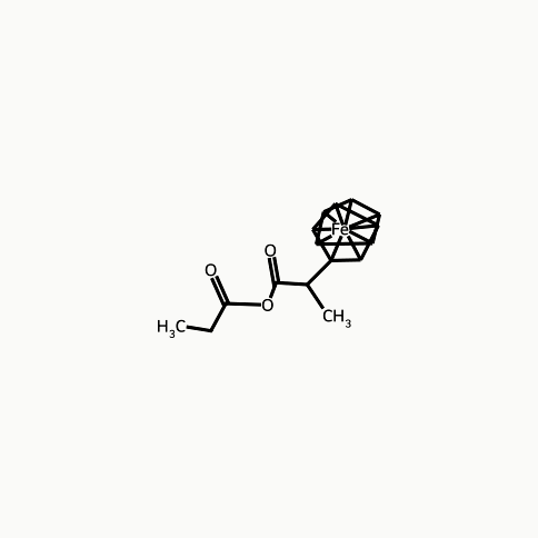 CCC(=O)OC(=O)C(C)[C]12[CH]3[CH]4[CH]5[CH]1[Fe]45321678[CH]2[CH]1[CH]6[CH]7[CH]28